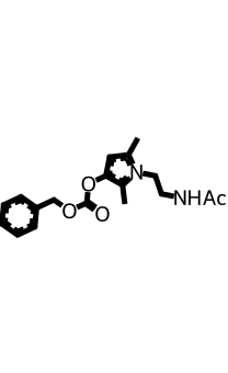 CC(=O)NCCn1c(C)cc(OC(=O)OCc2ccccc2)c1C